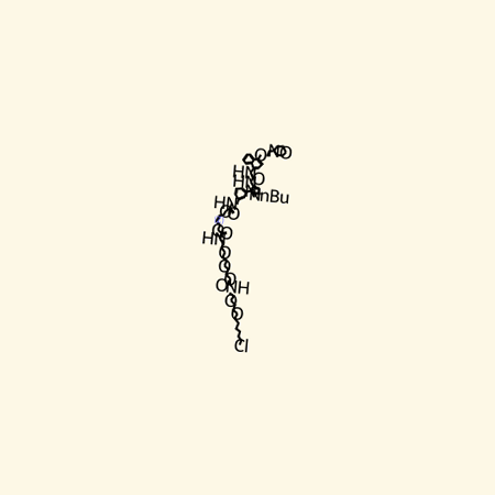 CCCCc1cc(NC(=O)Nc2ccc(OCCN3CCOCC3)c3ccccc23)n(-c2cccc(CNC(=O)OC/C=C\COC(=O)NCCOCCOCCOC(=O)NCCOCCOCCCCCCCl)c2)n1